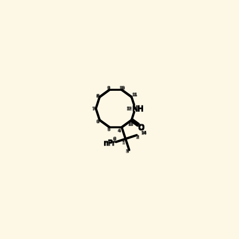 CCCC(C)(C)C1CCCCCCCNC1=O